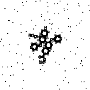 CC(C)(C)OC(=O)N1CCC2(CCC(Oc3ccncc3)CC2)CC1.Cl.Cl.c1cc(OC2CCC3(CCNCC3)CC2)ccn1